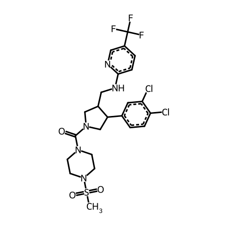 CS(=O)(=O)N1CCN(C(=O)N2CC(CNc3ccc(C(F)(F)F)cn3)C(c3ccc(Cl)c(Cl)c3)C2)CC1